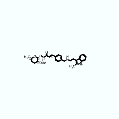 CC(=O)O[C@H]1CC[C@H](C)O[C@H]1ONC(=O)/C=C/c1ccc(CNCCc2c(C)[nH]c3ccccc23)cc1